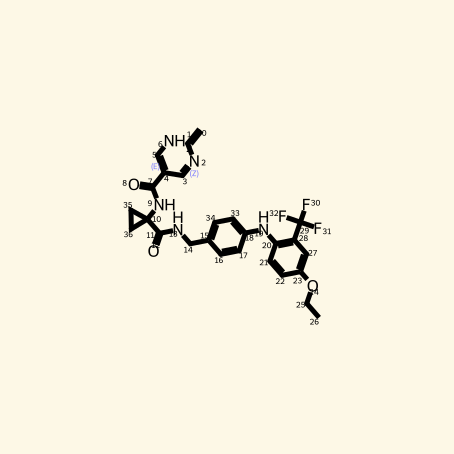 C=C/N=C\C(=C/N)C(=O)NC1(C(=O)NCc2ccc(Nc3ccc(OCC)cc3C(F)(F)F)cc2)CC1